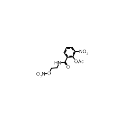 CC(=O)Oc1c(C(=O)NCCO[N+](=O)[O-])cccc1[N+](=O)[O-]